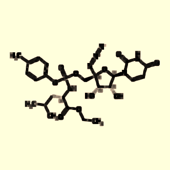 CCOC(=O)[C@H](CC(C)C)NP(=O)(OC[C@@]1(N=[N+]=[N-])O[C@@H](n2ccc(=O)[nH]c2=O)[C@H](O)[C@@H]1O)Oc1ccc(C)cc1